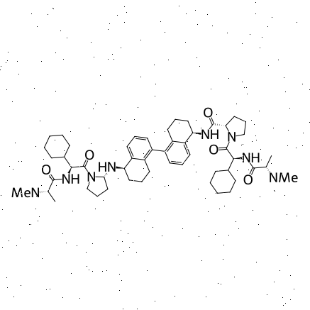 CN[C@@H](C)C(=O)N[C@H](C(=O)N1CCC[C@H]1N[C@@H]1CCCc2c(-c3cccc4c3CCC[C@H]4NC(=O)[C@@H]3CCCN3C(=O)[C@@H](NC(=O)[C@H](C)NC)C3CCCCC3)cccc21)C1CCCCC1